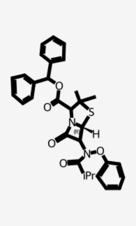 CC(C)C(=O)N(Oc1ccccc1)C1C(=O)N2C(C(=O)OC(c3ccccc3)c3ccccc3)C(C)(C)S[C@H]12